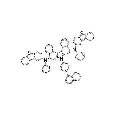 c1ccc(N(c2ccc3sc4ccccc4c3c2)c2cc3c(c4ccccc24)c2c4ccccc4c(N(c4ccccc4)c4ccc5sc6ccccc6c5c4)cc2n3-c2ccc(-c3cccc4ccccc34)cc2)cc1